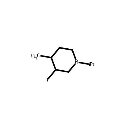 CC1CCN(C(C)C)CC1I